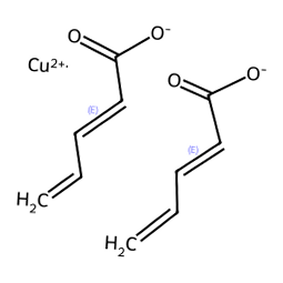 C=C/C=C/C(=O)[O-].C=C/C=C/C(=O)[O-].[Cu+2]